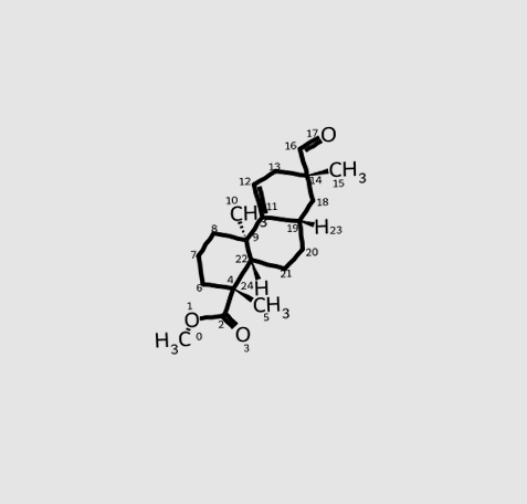 COC(=O)[C@]1(C)CCC[C@@]2(C)C3=CC[C@](C)(C=O)C[C@@H]3CC[C@H]12